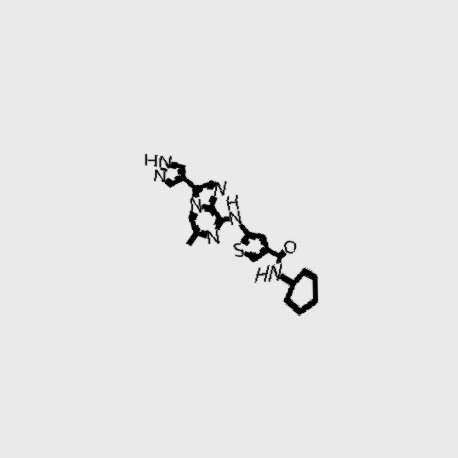 Cc1cn2c(-c3cn[nH]c3)cnc2c(Nc2cc(C(=O)NC3CCCCC3)cs2)n1